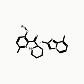 Cc1ccc(OC(C)C)c(C(=O)[C@@]2(Cc3cn4cccc(C)c4n3)CCCCN2)n1